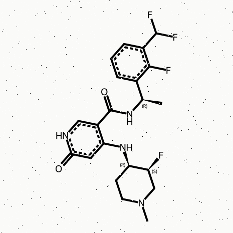 C[C@@H](NC(=O)c1c[nH]c(=O)cc1N[C@@H]1CCN(C)C[C@@H]1F)c1cccc(C(F)F)c1F